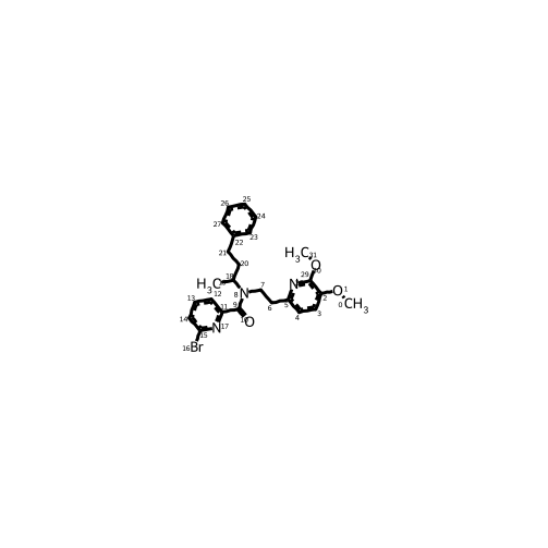 COc1ccc(CCN(C(=O)c2cccc(Br)n2)C(C)CCc2ccccc2)nc1OC